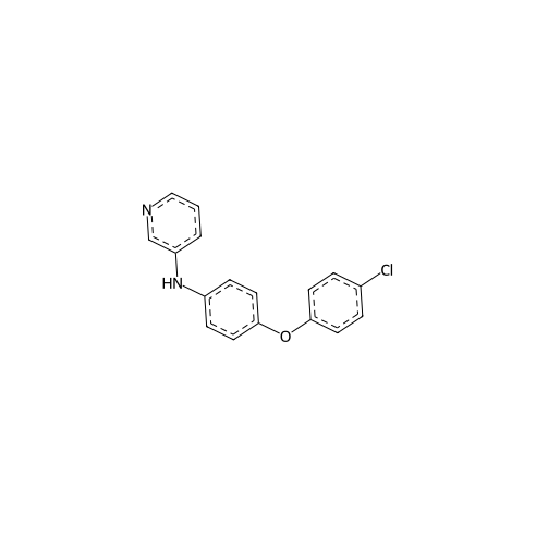 Clc1ccc(Oc2ccc(Nc3cccnc3)cc2)cc1